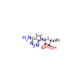 CCC[C@H]1C[C@@H](n2ccc3c(N)ncnc32)[C@H](O)[C@@H]1O